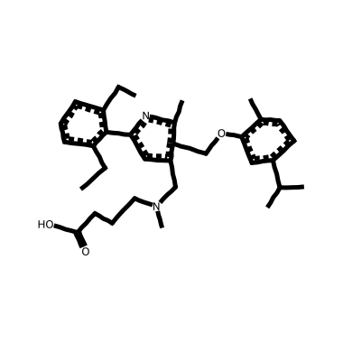 CCc1cccc(CC)c1-c1cc(CN(C)CCCC(=O)O)c(COc2cc(C(C)C)ccc2C)c(C)n1